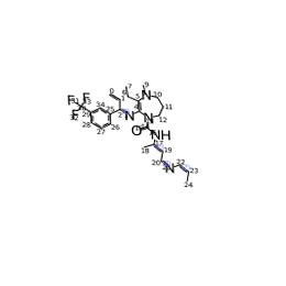 C=C/C(=N\C1=C(CC)N(C)CCCN1C(=O)N/C(C)=C/C=N\C=C/C)c1cccc(C(F)(F)F)c1